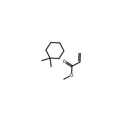 C=CC(=O)OC.CC1(C)CCCCC1